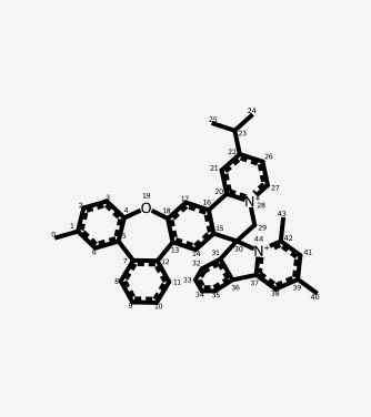 Cc1ccc2c(c1)-c1ccccc1-c1cc3c(cc1O2)-c1cc(C(C)C)cc[n+]1CC31c2ccccc2-c2cc(C)cc(C)[n+]21